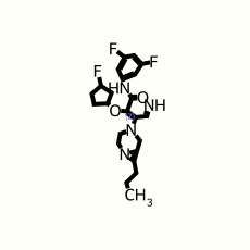 CCCC1=C2CN(/C(C=N)=C(\OC3CCC(F)C3)C(=O)Nc3cc(F)cc(F)c3)CCN12